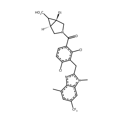 CC[C@@]12CN(C(=O)c3ccc(Cl)c(Cc4nc5c(C)cc(C(F)(F)F)cc5n4C)c3Cl)C[C@H]1C2C(=O)O